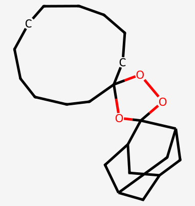 C1CCCCCC2(CCCCC1)OOC1(O2)C2CC3CC(C2)CC1C3